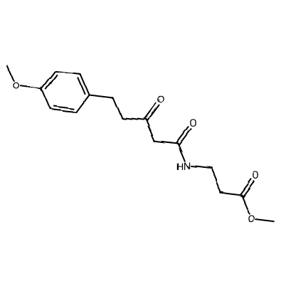 COC(=O)CCNC(=O)CC(=O)CCc1ccc(OC)cc1